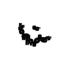 Cc1cc(Nc2nccn3c(-c4ccc(OC(F)F)cc4)cnc23)ccc1C(=O)N1CCN(C(=O)N2CCOC(C[N+](C)(C)C)C2)CC1.O=C[O-]